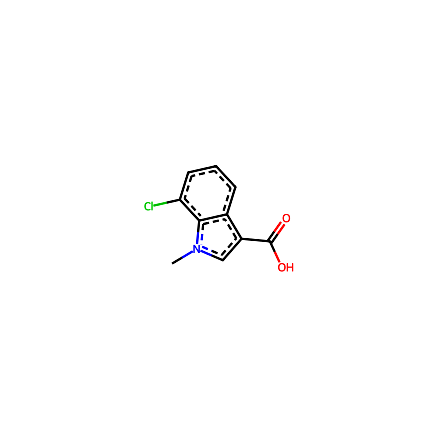 Cn1cc(C(=O)O)c2cccc(Cl)c21